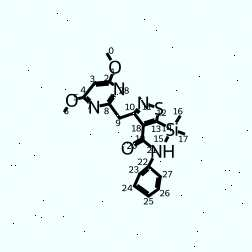 COc1cc(OC)nc(Cc2nsc([Si](C)(C)C)c2C(=O)Nc2ccccc2)n1